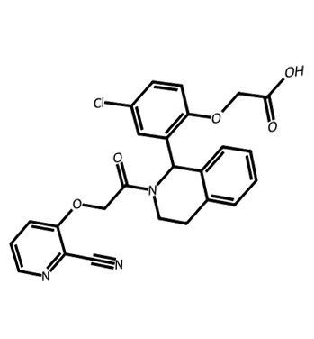 N#Cc1ncccc1OCC(=O)N1CCc2ccccc2C1c1cc(Cl)ccc1OCC(=O)O